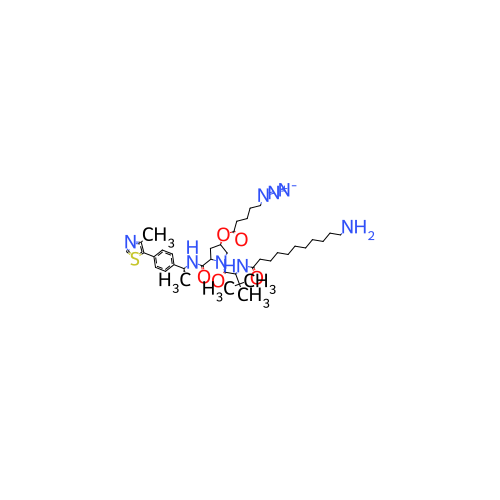 Cc1ncsc1-c1ccc([C@H](C)NC(=O)C2C[C@@H](OC(=O)CCCCN=[N+]=[N-])CN2C(=O)[C@@H](NC(=O)CCCCCCCCCCN)C(C)(C)C)cc1